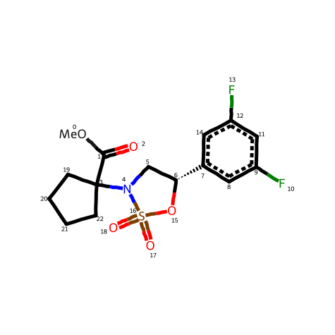 COC(=O)C1(N2C[C@H](c3cc(F)cc(F)c3)OS2(=O)=O)CCCC1